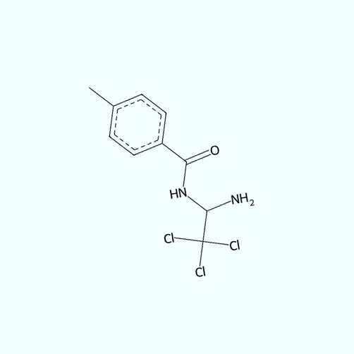 Cc1ccc(C(=O)NC(N)C(Cl)(Cl)Cl)cc1